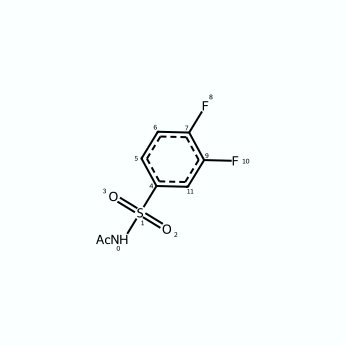 CC(=O)NS(=O)(=O)c1ccc(F)c(F)c1